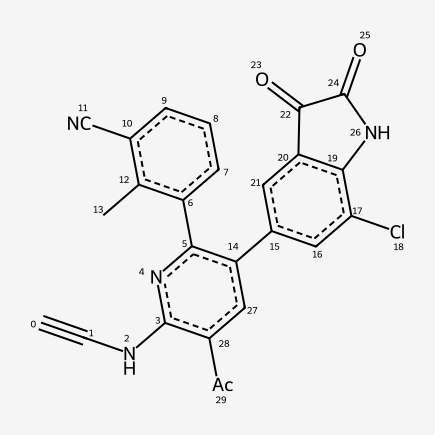 C#CNc1nc(-c2cccc(C#N)c2C)c(-c2cc(Cl)c3c(c2)C(=O)C(=O)N3)cc1C(C)=O